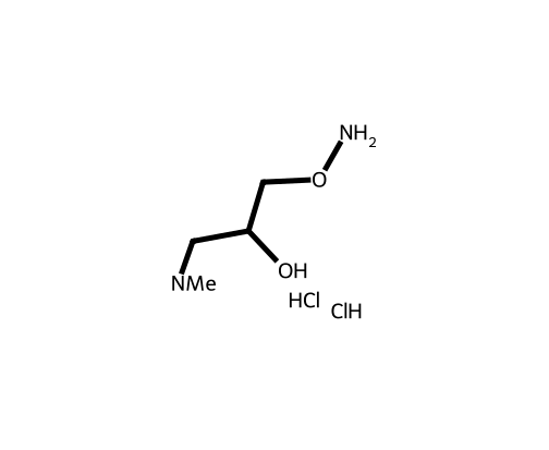 CNCC(O)CON.Cl.Cl